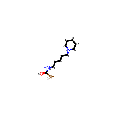 O=C(S)NCCCCCN1CCCCC1